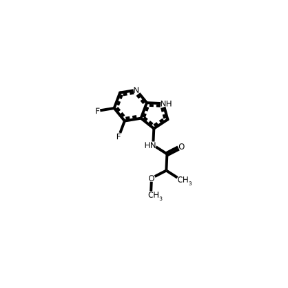 COC(C)C(=O)Nc1c[nH]c2ncc(F)c(F)c12